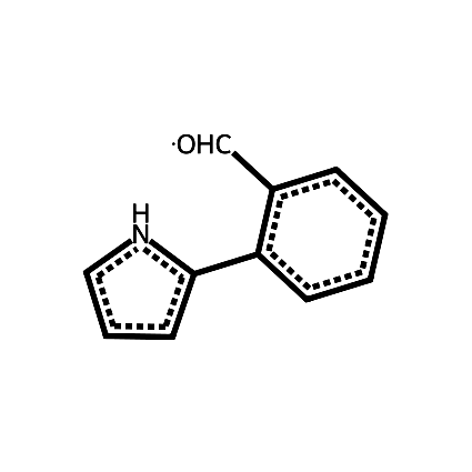 O=[C]c1ccccc1-c1ccc[nH]1